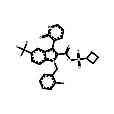 O=C(NS(=O)(=O)C1CCC1)c1c(-c2ccc[nH]c2=O)c2cc(C(F)(F)F)ccc2n1Cc1ccccc1F